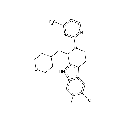 Fc1cc2[nH]c3c(c2cc1Cl)CCN(c1nccc(C(F)(F)F)n1)C3CC1CCOCC1